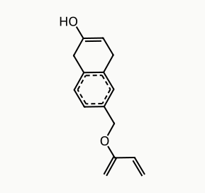 C=CC(=C)OCc1ccc2c(c1)CC=C(O)C2